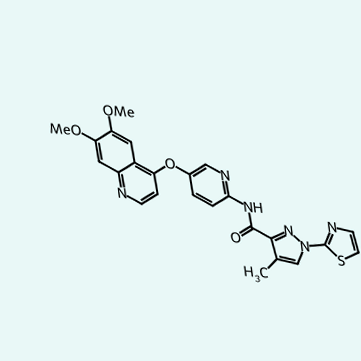 COc1cc2nccc(Oc3ccc(NC(=O)c4nn(-c5nccs5)cc4C)nc3)c2cc1OC